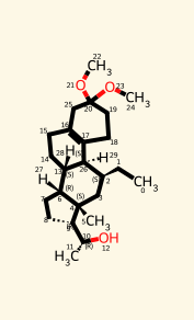 CC[C@H]1C[C@@]2(C)[C@H](CC[C@H]2[C@@H](C)O)[C@@H]2CCC3=C(CCC(OC)(OC)C3)[C@@H]12